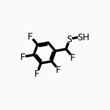 Fc1cc(C(F)SS)c(F)c(F)c1F